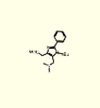 CCCCn1c(-c2ccccc2)nc(COC)c1CN(C)C